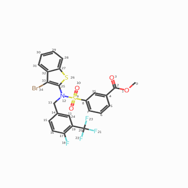 COC(=O)c1cccc(S(=O)(=O)N(Cc2ccc(F)c(C(F)(F)F)c2)c2sc3ccccc3c2Br)c1